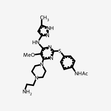 COc1c(Nc2cc(C)[nH]n2)nc(Sc2ccc(NC(C)=O)cc2)nc1N1CCN(CCN)CC1